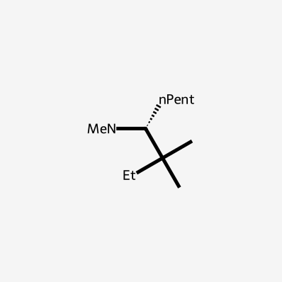 CCCCC[C@@H](NC)C(C)(C)CC